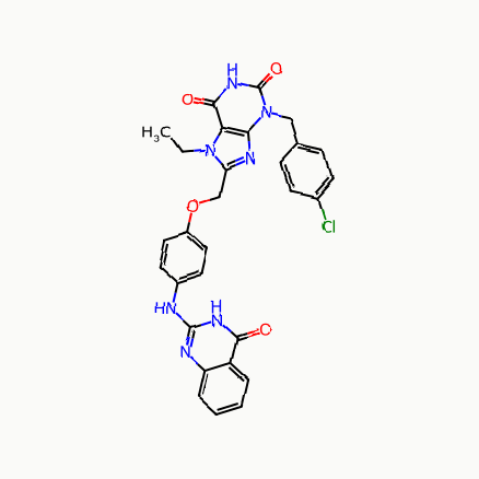 CCn1c(COc2ccc(Nc3nc4ccccc4c(=O)[nH]3)cc2)nc2c1c(=O)[nH]c(=O)n2Cc1ccc(Cl)cc1